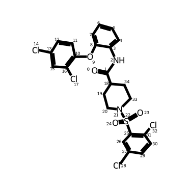 O=C(Nc1ccccc1Oc1ccc(Cl)cc1Cl)C1CCN(S(=O)(=O)c2cc(Cl)ccc2Cl)CC1